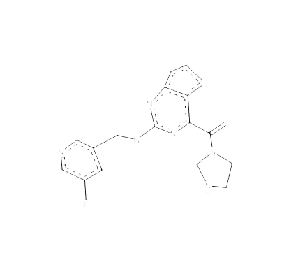 O=C(c1nc(NCc2cncc(F)c2)nc2ccsc12)N1CCNC1